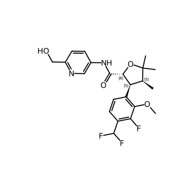 COc1c([C@H]2[C@H](C(=O)Nc3ccc(CO)nc3)OC(C)(C)[C@H]2C)ccc(C(F)F)c1F